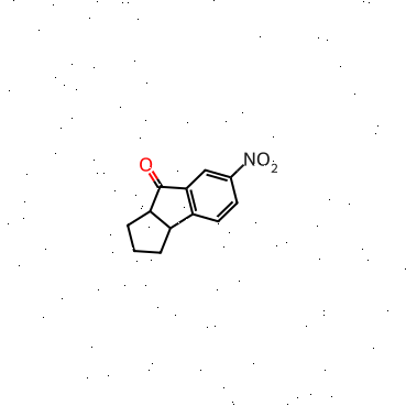 O=C1c2cc([N+](=O)[O-])ccc2C2CCCC12